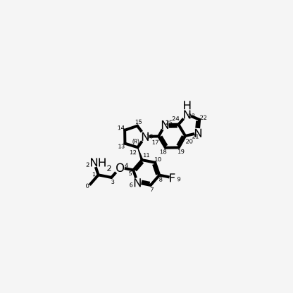 CC(N)COc1ncc(F)cc1[C@H]1CCCN1c1ccc2nc[nH]c2n1